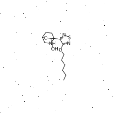 CCCCCCOc1nsnc1C12CCC(CN1)CC2O